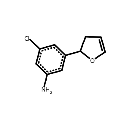 Nc1cc(Cl)cc(C2CC=CO2)c1